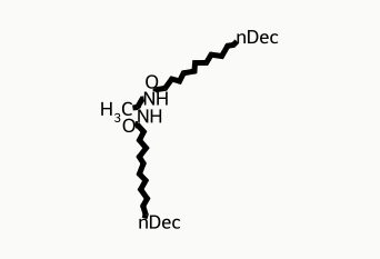 CCCCCCCCCCCCCCCCCCCCCC(=O)NCC(C)NC(=O)CCCCCCCCCCCCCCCCCCCCC